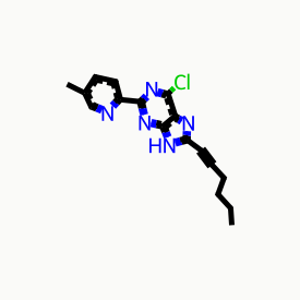 CCCCC#Cc1nc2c(Cl)nc(-c3ccc(C)cn3)nc2[nH]1